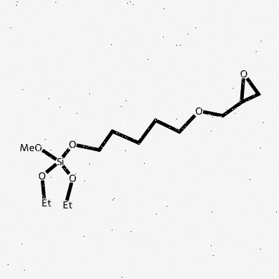 CCO[Si](OC)(OCC)OCCCCCOCC1CO1